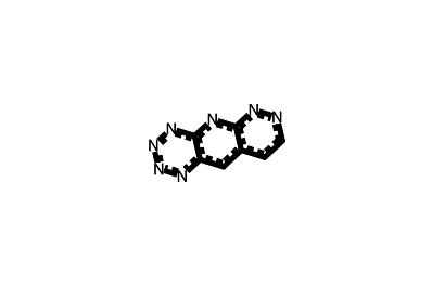 c1cc2cc3nnnnc3nc2nn1